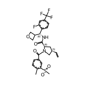 C=C[C@@H]1C[C@H](C(=O)N[C@@H](c2ccc(C(F)(F)F)cc2F)C2COC2)N(C(=O)c2ccc(C)c(S(C)(=O)=O)c2)C1